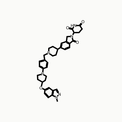 Cn1ncc2cc(OC3CCN(c4ccc(CN5CCC(c6ccc7c(c6)CN(C6CCC(=O)NC6=O)C7=O)CC5)cc4)CC3)ccc21